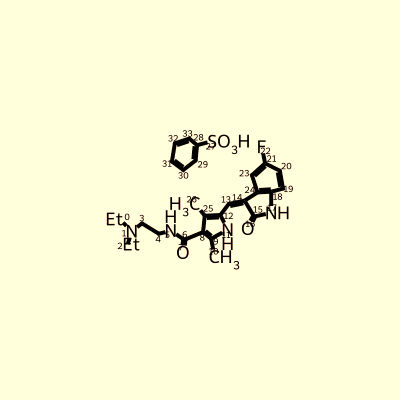 CCN(CC)CCNC(=O)c1c(C)[nH]c(C=C2C(=O)Nc3ccc(F)cc32)c1C.O=S(=O)(O)c1ccccc1